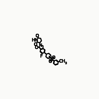 Cc1cccc(S(=O)(=O)N2CCC(c3cc4c(cc3F)C(=O)N(C3CCC(=O)NC3=O)C4)CC2)c1